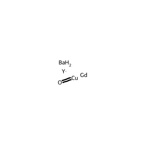 [BaH2].[Gd].[O]=[Cu].[Y]